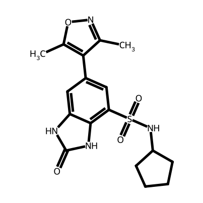 Cc1noc(C)c1-c1cc(S(=O)(=O)NC2CCCC2)c2[nH]c(=O)[nH]c2c1